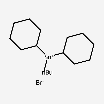 CCC[CH2][Sn+]([CH]1CCCCC1)[CH]1CCCCC1.[Br-]